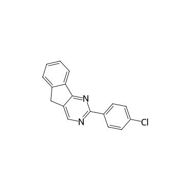 Clc1ccc(-c2ncc3c(n2)-c2ccccc2C3)cc1